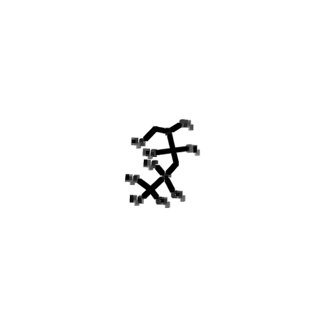 CCN(C)C(C)(C)C[N+](C)(C)C(C)(C)C